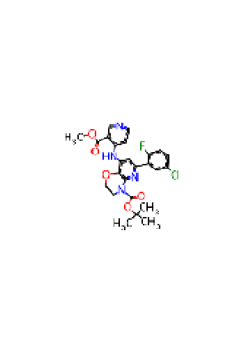 COC(=O)c1cnccc1Nc1cc(-c2cc(Cl)ccc2F)nc2c1OCCN2C(=O)OC(C)(C)C